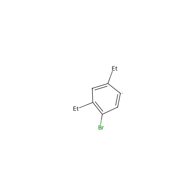 CCc1[c]cc(Br)c(CC)c1